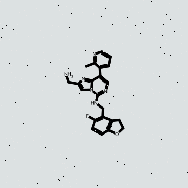 Cc1ncccc1-c1cnc(NCc2c(F)ccc3c2CCO3)n2cc(CN)nc12